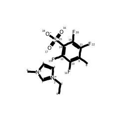 CC[n+]1ccn(C)c1.Cc1c(F)c(F)c(S(=O)(=O)[O-])c(F)c1F